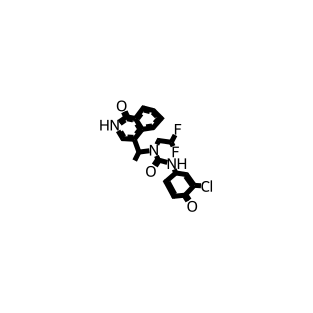 CC(c1c[nH]c(=O)c2ccccc12)N(CC(F)F)C(=O)NC1C=CC(=O)C(Cl)=C1